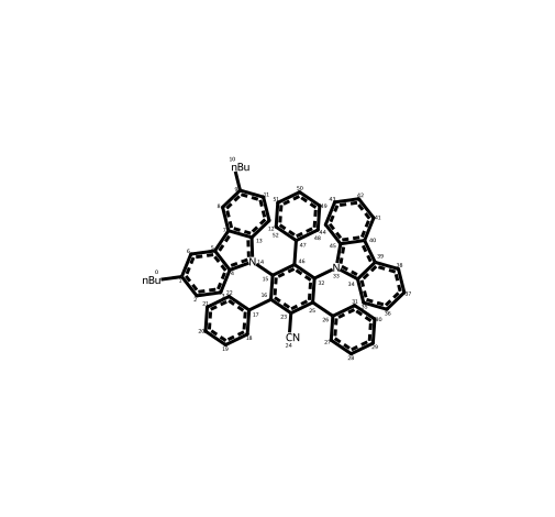 CCCCc1ccc2c(c1)c1cc(CCCC)ccc1n2-c1c(-c2ccccc2)c(C#N)c(-c2ccccc2)c(-n2c3ccccc3c3ccccc32)c1-c1ccccc1